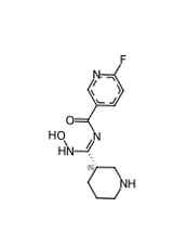 O=C(N=C(NO)[C@H]1CCCNC1)c1ccc(F)nc1